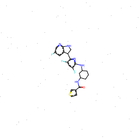 O=C(NC1CCCC(Nc2nc(C3CNc4ncc(F)cc43)c(F)cc2F)C1)c1ccsc1